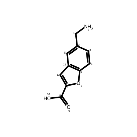 NCc1ccc2oc(C(=O)O)cc2c1